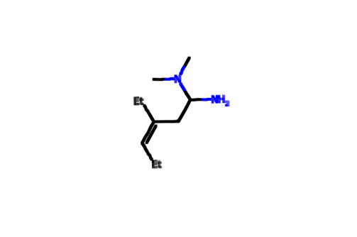 CC/C=C(/CC)CC(N)N(C)C